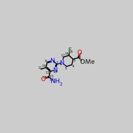 COC(=O)C1CCN(c2ncc(C)c(C(N)=O)n2)CC1F